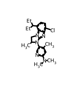 CCC(CC)c1ccc(Cl)c2nc3n(c12)CC(C)N3c1cnc(N(C)C)cc1C